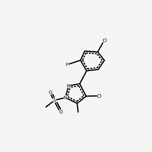 Cc1c(Cl)c(-c2ccc(Cl)cc2F)nn1S(C)(=O)=O